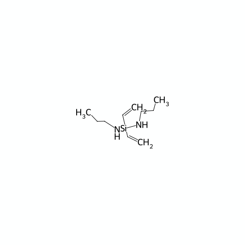 C=C[Si](C=C)(NCCC)NCCC